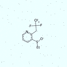 CC[S+]([O-])c1cccnc1[CH]C(F)(F)C(F)(F)F